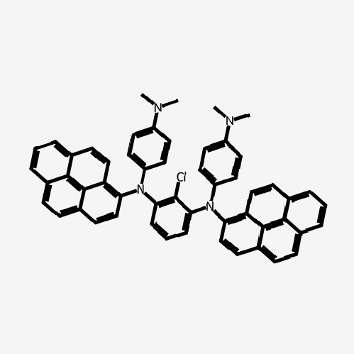 CN(C)c1ccc(N(c2cccc(N(c3ccc(N(C)C)cc3)c3ccc4ccc5cccc6ccc3c4c56)c2Cl)c2ccc3ccc4cccc5ccc2c3c45)cc1